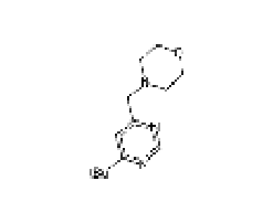 CC(C)(C)c1cc(CN2CCOCC2)ncn1